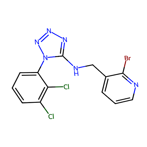 Clc1cccc(-n2nnnc2NCc2cccnc2Br)c1Cl